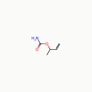 C=CC(C)OC(N)=O